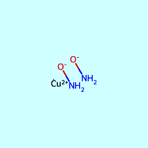 N[O-].N[O-].[Cu+2]